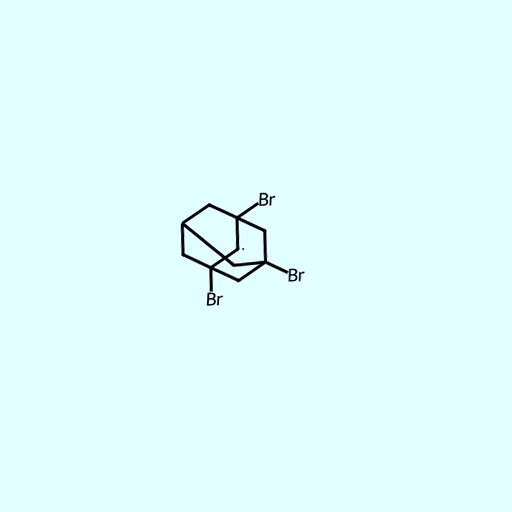 BrC12[CH]C3(Br)CC(C1)CC(Br)(C2)C3